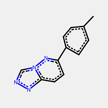 Cc1ccc(-c2ccc3nncn3n2)cc1